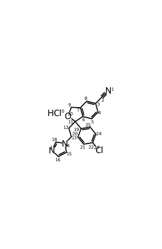 Cl.N#Cc1ccc2c(c1)COC2(CCn1ccnc1)c1ccc(Cl)cc1